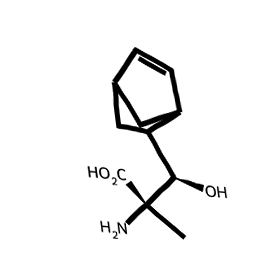 C[C@@](N)(C(=O)O)[C@H](O)C1CC2C=CC1C2